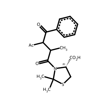 CC(=O)C(C(=O)c1ccccc1)C(C)C(=O)N1[C@H](C(=O)O)CSC1(C)C